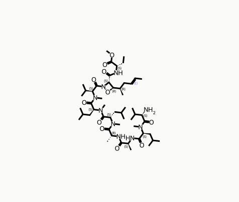 C/C=C/C[C@@H](C)[C@H]1ON(C(=O)[C@H](C(C)C)N(C)C(=O)[C@H](CC(C)C)N(C)C(=O)[C@H](CC(C)C)N(C)C(=O)[C@@H](C)NC(=O)[C@H](C)NC(=O)[C@H](CC(C)C)N(C)C(=O)[C@@H](N)C(C)C)[C@@H]1C(=O)N[C@@H](CC)C(=O)OC